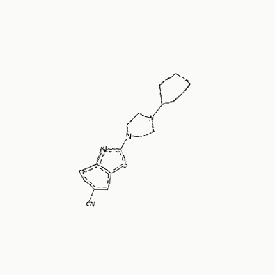 N#Cc1ccc2nc(N3CCN(C4CCCC4)CC3)sc2c1